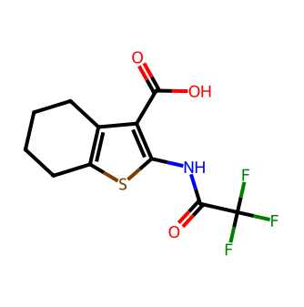 O=C(O)c1c(NC(=O)C(F)(F)F)sc2c1CCCC2